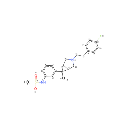 CC1(c2cccc(NS(C)(=O)=O)c2)C2CN(CCc3ccc(F)cc3)CC21